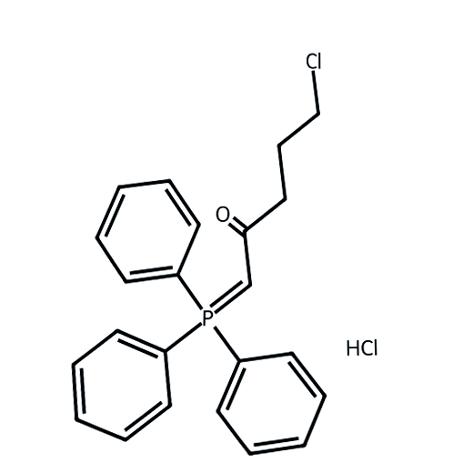 Cl.O=C(C=P(c1ccccc1)(c1ccccc1)c1ccccc1)CCCCl